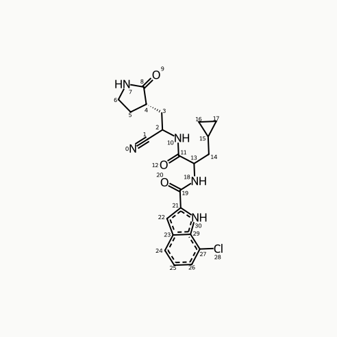 N#CC(C[C@@H]1CCNC1=O)NC(=O)C(CC1CC1)NC(=O)c1cc2cccc(Cl)c2[nH]1